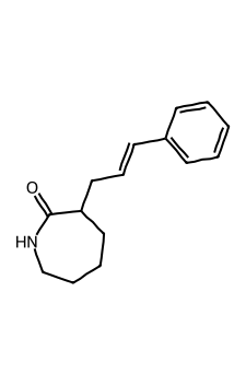 O=C1NCCCCC1CC=Cc1ccccc1